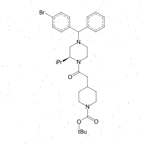 CC(C)[C@H]1CN(C(c2ccccc2)c2ccc(Br)cc2)CCN1C(=O)CC1CCN(C(=O)OC(C)(C)C)CC1